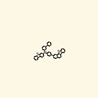 c1ccc(-c2cccc(N(c3ccc(-c4ccc5ccc6c7ccccc7sc6c5c4)cc3)c3ccc4c(c3)sc3ccccc34)c2)cc1